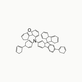 C1=CCCC(c2ccc3c(c2)C2(C4CC=CC=C4C4C=CC=CC42)C2C=C(N(C4=CCC(C5=CC=CCC5)C=C4)C4=CC=CC5OC6=C(CCC=C6)C45)C=CC32)=C1